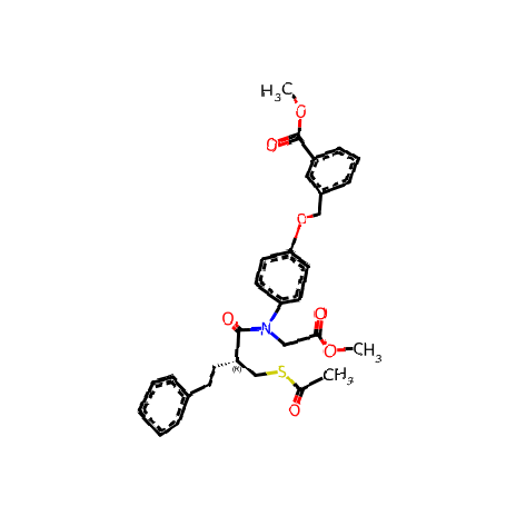 COC(=O)CN(C(=O)[C@@H](CCc1ccccc1)CSC(C)=O)c1ccc(OCc2cccc(C(=O)OC)c2)cc1